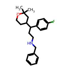 CC1(C)CC(C(CCNCc2ccccc2)c2ccc(F)cc2)CCO1